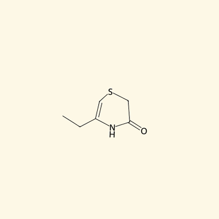 CCC1=CSCC(=O)N1